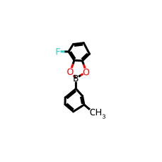 Cc1cccc(B2Oc3cccc(F)c3O2)c1